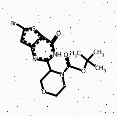 CC(C)(C)OC(=O)N1CCOCC1c1nc2cc(Br)sc2c(=O)[nH]1